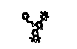 CC1(C)OC(C)(C)c2cc(-c3ncc(B4OC(C)(C)C(C)(C)O4)cc3OCCc3ccccc3)ccc21